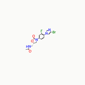 CC(=O)NC[C@H]1CN(c2ccc(-n3cnc(Br)c3)c(F)c2)C(=O)O1